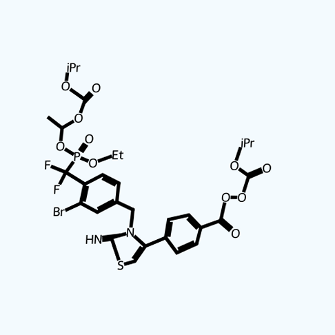 CCOP(=O)(OC(C)OC(=O)OC(C)C)C(F)(F)c1ccc(Cn2c(-c3ccc(C(=O)OOC(=O)OC(C)C)cc3)csc2=N)cc1Br